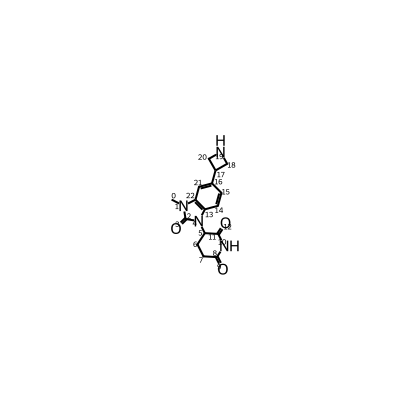 Cn1c(=O)n(C2CCC(=O)NC2=O)c2ccc(C3CNC3)cc21